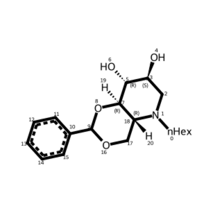 CCCCCCN1C[C@H](O)[C@@H](O)[C@@H]2OC(c3ccccc3)OC[C@H]21